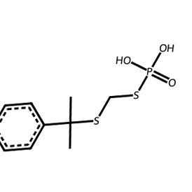 CC(C)(SCSP(=O)(O)O)c1ccccc1